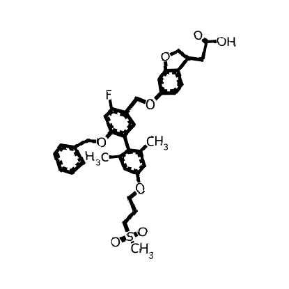 Cc1cc(OCCCS(C)(=O)=O)cc(C)c1-c1cc(COc2ccc3c(c2)OCC3CC(=O)O)c(F)cc1OCc1ccccc1